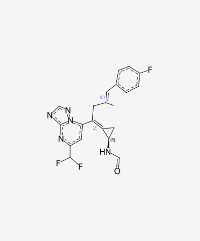 C/C(=C\c1ccc(F)cc1)C/C(=C1\C[C@H]1NC=O)c1cc(C(F)F)nc2ncnn12